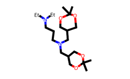 CCN(CC)CCCN(CC1COC(C)(C)OC1)CC1COC(C)(C)OC1